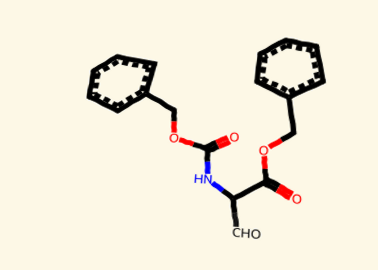 O=CC(NC(=O)OCc1ccccc1)C(=O)OCc1ccccc1